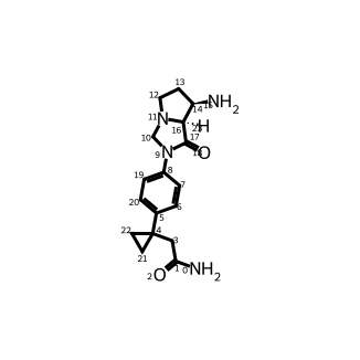 NC(=O)CC1(c2ccc(N3CN4CC[C@@H](N)[C@H]4C3=O)cc2)CC1